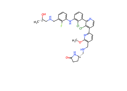 COc1nc(-c2ccnc(-c3cccc(Nc4cccc(CNC[C@H](C)O)c4F)c3Cl)c2Cl)ccc1CNC[C@@H]1CCC(=O)N1